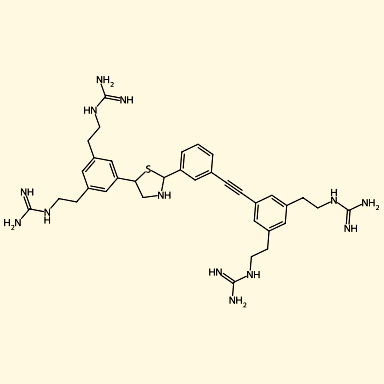 N=C(N)NCCc1cc(C#Cc2cccc(C3NCC(c4cc(CCNC(=N)N)cc(CCNC(=N)N)c4)S3)c2)cc(CCNC(=N)N)c1